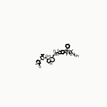 CCCOC(=O)[C@H](C)NP(=O)(Oc1ccccc1)[C@@H](F)c1ccc2sc(C(=O)NCC3CCC[C@H]4CC[C@@H](C(=O)N5C[C@@H](c6ccn(C)c(=O)c6)CC56CC6)N4C3=O)cc2c1